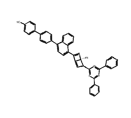 N#Cc1ccc(-c2ccc(-c3ccc(C4=C[C@@H]5C4=CC5c4nc(-c5ccccc5)nc(-c5ccccc5)n4)c4ccccc34)cc2)cc1